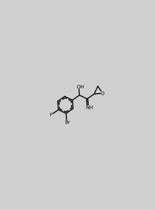 N=C(C1CO1)C(O)c1ccc(F)c(Br)c1